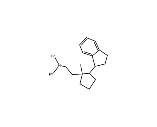 CC(C)N(CCC1(I)CCCC1C1CCc2ccccc21)C(C)C